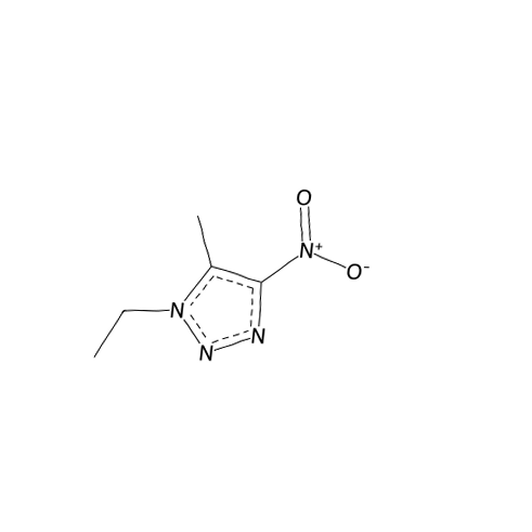 CCn1nnc([N+](=O)[O-])c1C